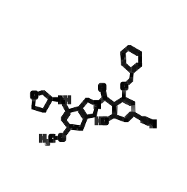 COc1cc2c(c(N[C@H]3CCOC3)c1)CN(C(=O)c1c(O)cc(C#N)cc1OCc1ccccc1)C2